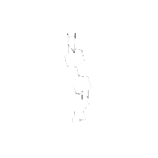 C1CC(C2CCN(CC3COC3)CC2)CCN1